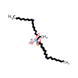 Br.CCCCCCCC/C=C\CCCCCCCC(=O)OC(CC)(OC(=O)CCCCCCC/C=C\CCCCCCCC)N(C)C